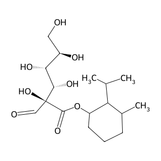 CC(C)C1C(C)CCCC1OC(=O)[C@](O)(C=O)[C@@H](O)[C@H](O)[C@H](O)CO